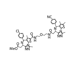 COC(=O)CC1N=C(c2ccc(Cl)cc2)c2c(sc(C(=O)NCCOCCNC(=O)CC3N=C(c4ccc(C#N)cc4)c4c(sc(C)c4C)-n4c(C)nnc43)c2C)-n2c(C)nnc21